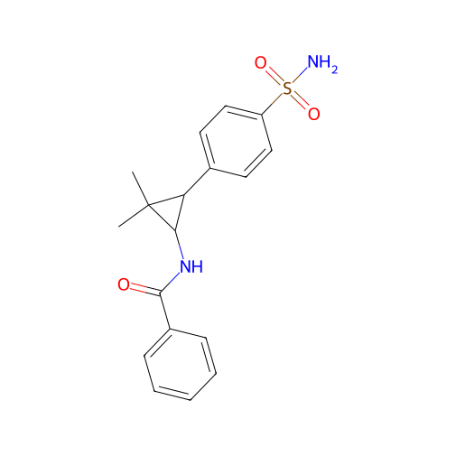 CC1(C)C(NC(=O)c2ccccc2)C1c1ccc(S(N)(=O)=O)cc1